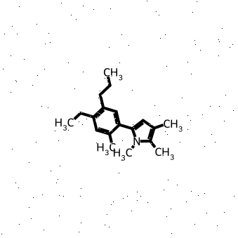 CCCc1cc(-c2cc(C)c(C)n2C)c(C)cc1CC